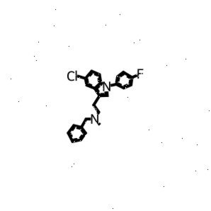 CN(CCc1cn(-c2ccc(F)cc2)c2ccc(Cl)cc12)Cc1ccccc1